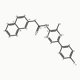 Cc1nc(-c2ccc(F)cc2)cnc1NC(=O)Cc1ccc2ccccc2c1